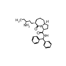 CC[C@H](N)CC[C@H]1CCC[C@H]2CC[C@@H](C(=O)NC(c3ccccc3)c3ccccc3)N2C1=O